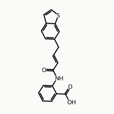 O=C(C=CCc1ccc2ccsc2c1)Nc1ccccc1C(=O)O